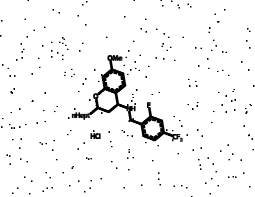 CCCCCCCC1CC(NCc2ccc(C(F)(F)F)cc2F)c2ccc(OC)cc2O1.Cl